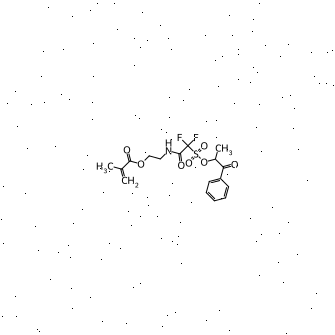 C=C(C)C(=O)OCCNC(=O)C(F)(F)S(=O)(=O)OC(C)C(=O)c1ccccc1